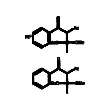 CO[Si](C)(OC)C(C(C)=O)C(=O)c1ccccc1.CO[Si](C)(OC)C(C(C)=O)C(=O)c1ccccc1.[Pt+2]